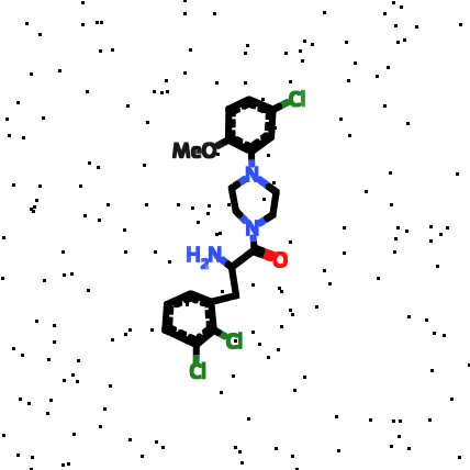 COc1ccc(Cl)cc1N1CCN(C(=O)C(N)Cc2cccc(Cl)c2Cl)CC1